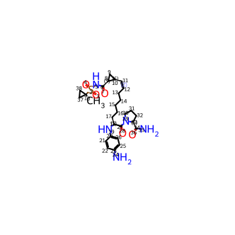 CC1(S(=O)(=O)NC(=O)[C@H]2C[C@H]2/C=C\CCCCC[C@H](Nc2ccc(N)cc2)C(=O)N2CCC[C@H]2C(N)=O)CC1